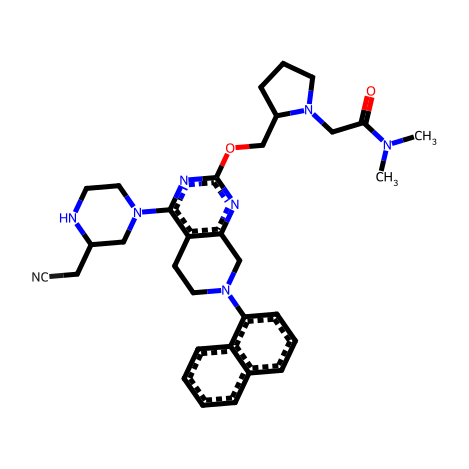 CN(C)C(=O)CN1CCCC1COc1nc2c(c(N3CCNC(CC#N)C3)n1)CCN(c1cccc3ccccc13)C2